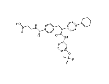 O=C(O)CCNC(=O)c1ccc(CN(C(=O)Nc2cccc(OC(F)(F)F)c2)c2ccc(C3=CCCCC3)cc2)cc1